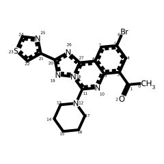 CC(=O)c1cc(Br)cc2c1nc(N1CCCCC1)n1nc(-c3cscn3)nc21